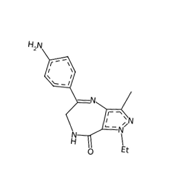 CCn1nc(C)c2c1C(=O)NCC(c1ccc(N)cc1)=N2